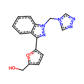 OCc1ccc(-c2nn(Cn3cnnc3)c3ccccc23)o1